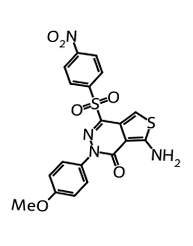 COc1ccc(-n2nc(S(=O)(=O)c3ccc([N+](=O)[O-])cc3)c3csc(N)c3c2=O)cc1